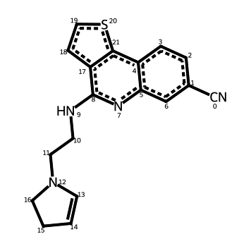 N#Cc1ccc2c(c1)nc(NCCN1C=CCC1)c1ccsc12